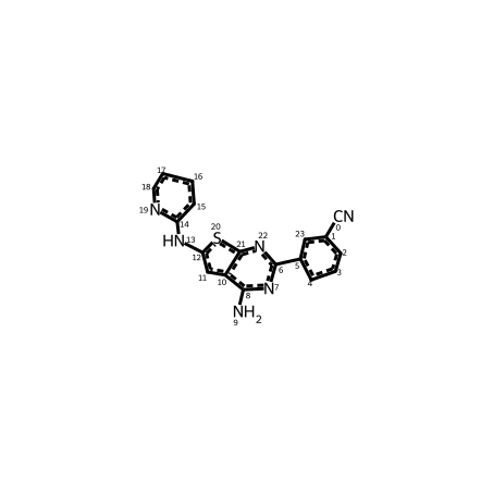 N#Cc1cccc(-c2nc(N)c3cc(Nc4ccccn4)sc3n2)c1